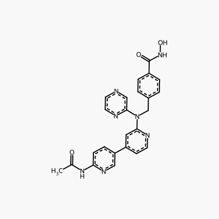 CC(=O)Nc1ccc(-c2ccnc(N(Cc3ccc(C(=O)NO)cc3)c3cnccn3)c2)cn1